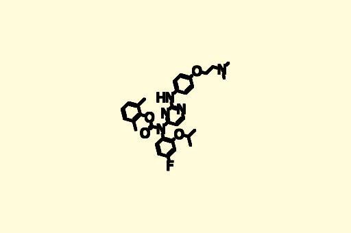 Cc1cccc(C)c1OC(=O)N(c1ccnc(Nc2ccc(OCCN(C)C)cc2)n1)c1ccc(F)cc1OC(C)C